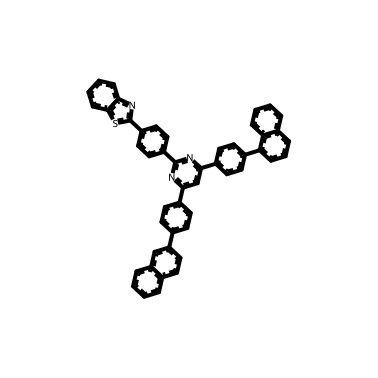 c1ccc2cc(-c3ccc(-c4cc(-c5ccc(-c6cccc7ccccc67)cc5)nc(-c5ccc(-c6nc7ccccc7s6)cc5)n4)cc3)ccc2c1